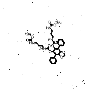 CC(C)(C)OC(=O)NCCCNC(=O)Oc1c(OC(=O)NCCCNC(=O)OC(C)(C)C)c(-c2ccccc2)c2c(c1-c1ccccc1)OCO2